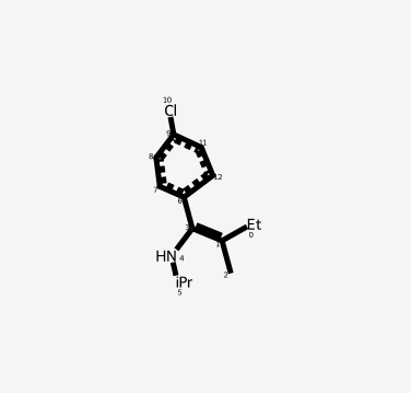 CC/C(C)=C(/NC(C)C)c1ccc(Cl)cc1